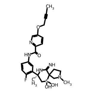 CC#CCOc1ccc(C(=O)Nc2ccc(F)c([C@]3(C)CS(O)(O)C4(CCN(C)C4)C(=N)N3)c2)nc1